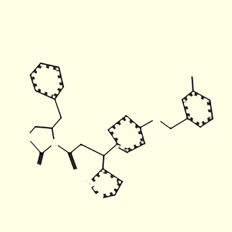 Nc1cccc(COc2ccc(C(CC(=O)N3C(=O)OCC3Cc3ccccc3)c3ccon3)cc2)c1